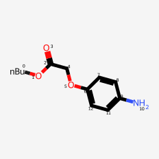 CCCCOC(=O)COc1ccc(N)cc1